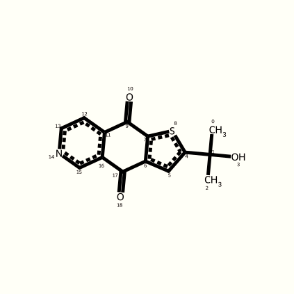 CC(C)(O)c1cc2c(s1)C(=O)c1ccncc1C2=O